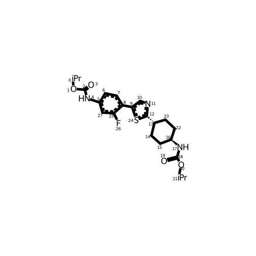 CC(C)OC(=O)Nc1ccc(-c2cnc([C@H]3CC[C@H](NC(=O)OC(C)C)CC3)s2)c(F)c1